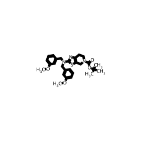 COc1cccc(CN(Cc2cccc(OC)c2)c2nc3c(s2)CN(C(=O)OC(C)(C)C)CC3)c1